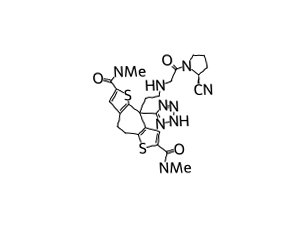 CNC(=O)c1cc2c(s1)CCc1cc(C(=O)NC)sc1C2(CCNCC(=O)N1CCC[C@H]1C#N)c1nn[nH]n1